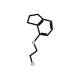 ClCCOc1cccc2c1CCC2